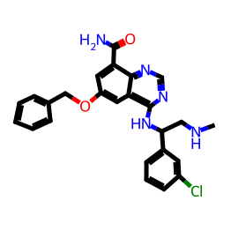 CNCC(Nc1ncnc2c(C(N)=O)cc(OCc3ccccc3)cc12)c1cccc(Cl)c1